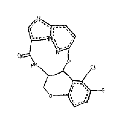 O=C1NC2COc3ccc(F)c(Cl)c3C2Oc2ccc3ncc1n3n2